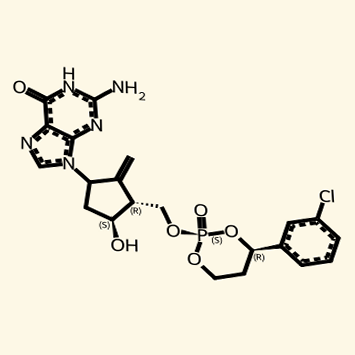 C=C1C(n2cnc3c(=O)[nH]c(N)nc32)C[C@H](O)[C@H]1CO[P@]1(=O)OCC[C@H](c2cccc(Cl)c2)O1